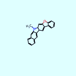 CN1c2cc3ccccc3cc2C2C=c3c(oc4ccccc34)=CC21